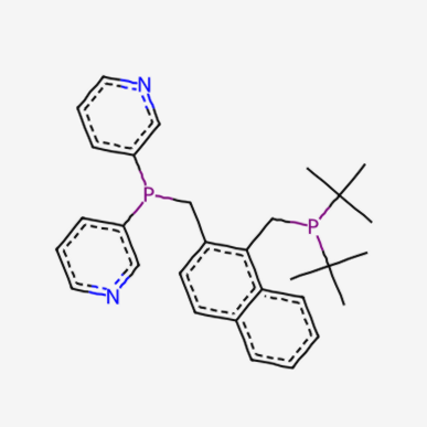 CC(C)(C)P(Cc1c(CP(c2cccnc2)c2cccnc2)ccc2ccccc12)C(C)(C)C